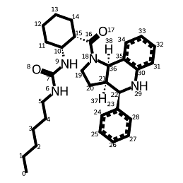 CCCCCCNC(=O)N[C@@H]1CCCC[C@@H]1C(=O)N1CC[C@@H]2[C@H](c3ccccc3)Nc3ccccc3[C@@H]21